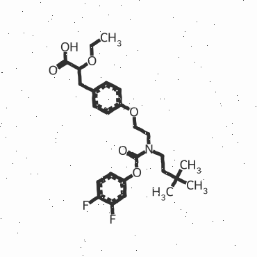 CCOC(Cc1ccc(OCCN(CCC(C)(C)C)C(=O)Oc2ccc(F)c(F)c2)cc1)C(=O)O